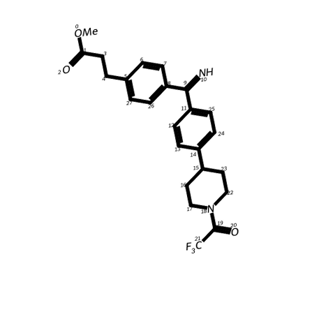 COC(=O)CCc1ccc(C(=N)c2ccc(C3CCN(C(=O)C(F)(F)F)CC3)cc2)cc1